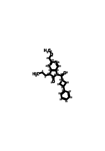 CCCn1c(=O)n(C(=O)N2CC(c3ccccc3)C2)c2cnc(COC)nc21